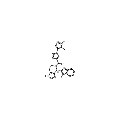 Cc1c([C@@H]2c3nc[nH]c3CCN2C(=O)c2nnc(-c3cnn(C)c3C)o2)oc2ccccc12